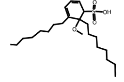 CCCCCCCCC1=CC=CC(S(=O)(=O)O)C1(CCCCCCCC)OC